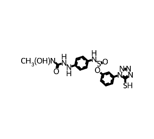 CN(O)C(=O)NNc1ccc(NS(=O)Oc2cccc(-n3nnnc3S)c2)cc1